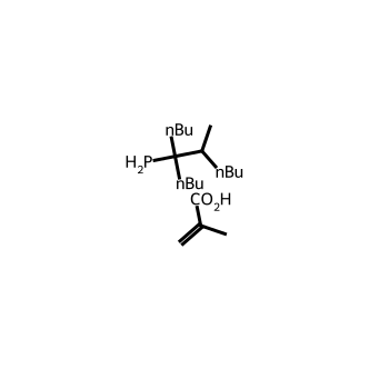 C=C(C)C(=O)O.CCCCC(C)C(P)(CCCC)CCCC